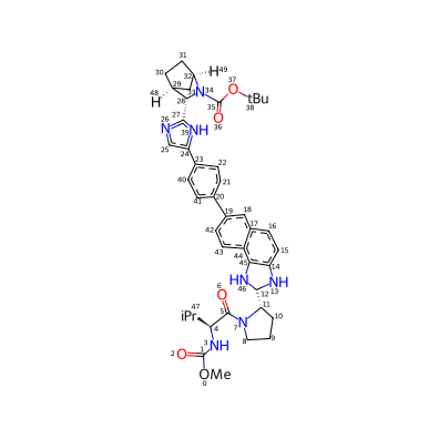 COC(=O)N[C@H](C(=O)N1CCC[C@H]1C1Nc2ccc3cc(-c4ccc(-c5cnc([C@@H]6[C@H]7CC[C@H](C7)N6C(=O)OC(C)(C)C)[nH]5)cc4)ccc3c2N1)C(C)C